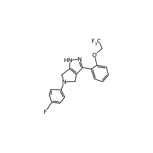 Fc1ccc(N2Cc3[nH]nc(-c4ccccc4OCC(F)(F)F)c3C2)cc1